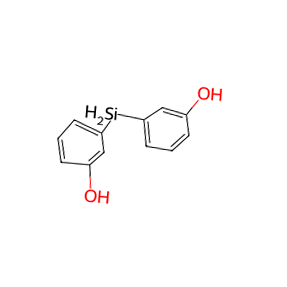 Oc1cccc([SiH2]c2cccc(O)c2)c1